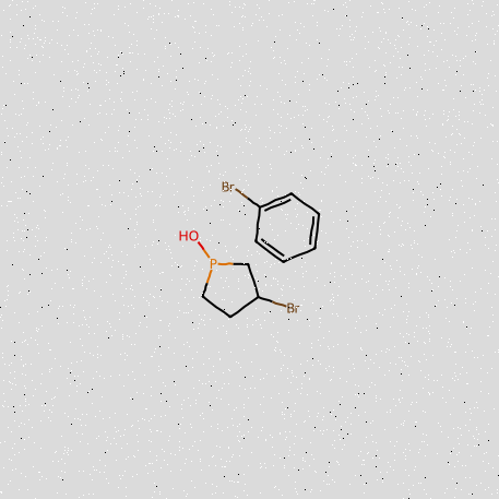 Brc1ccccc1.OP1CCC(Br)C1